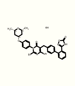 CCCc1nc(CC)n(-c2ccc(O[C@H]3C[C@@H](C)O[C@@H](C)C3)cc2)c(=O)c1Cc1ccc(-c2ccccc2-c2noc(=O)[nH]2)cc1.[KH]